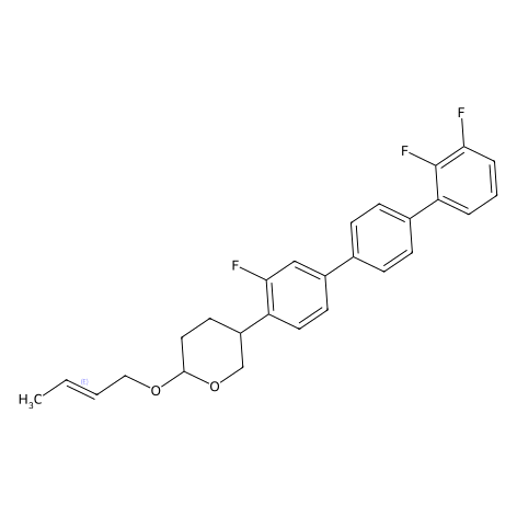 C/C=C/COC1CCC(c2ccc(-c3ccc(-c4cccc(F)c4F)cc3)cc2F)CO1